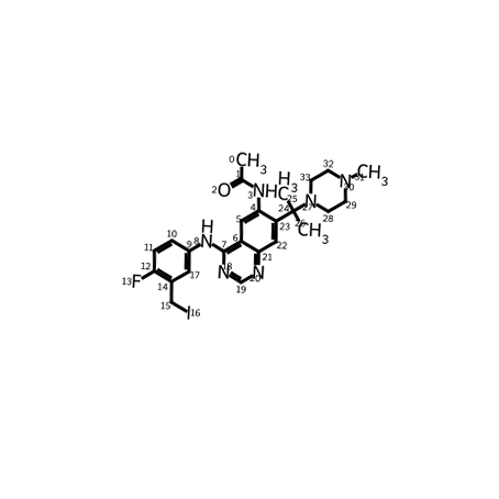 CC(=O)Nc1cc2c(Nc3ccc(F)c(CI)c3)ncnc2cc1C(C)(C)N1CCN(C)CC1